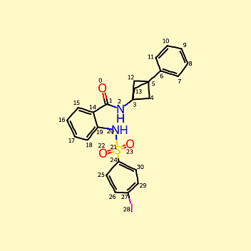 O=C(NC12CC(c3ccccc3)(C1)C2)c1ccccc1NS(=O)(=O)c1ccc(I)cc1